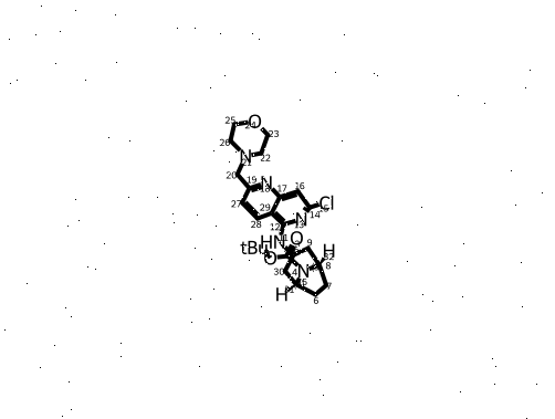 CC(C)(C)OC(=O)N1[C@@H]2CC[C@H]1CC(Nc1nc(Cl)cc3nc(CN4CCOCC4)ccc13)C2